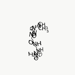 CN(C)CCn1cccc1-c1noc(CCC(=O)NCCCNc2n[nH]c(=O)c3ccccc23)n1